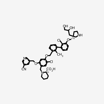 Cc1c(COc2cc(OCc3cncc(C#N)c3)c(CN3CCCC[C@H]3C(=O)O)cc2Cl)cccc1-c1cccc(OC[C@]2(CC(O)CO)CCNC2)c1Cl